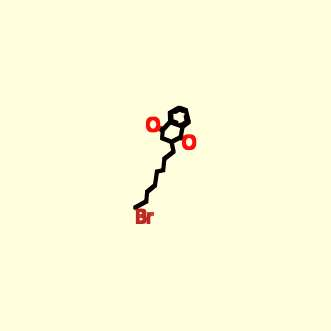 O=C1CC(CCCCCCCCBr)C(=O)c2ccccc21